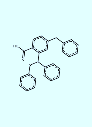 OC(=S)c1ccc(Cc2ccccc2)cc1C(Sc1ccccc1)c1ccccc1